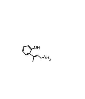 CC(=CCN)c1ccccc1O